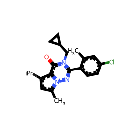 Cc1cc(Cl)ccc1-c1nn2c(C)cc(C(C)C)c2c(=O)n1CC1CC1